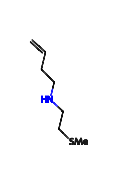 C=CCCNCCSC